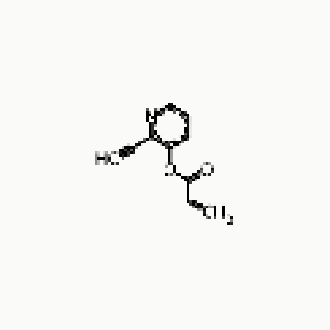 C#Cc1ncccc1OC(=O)C=C